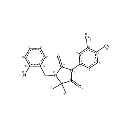 CC1(C)C(=O)N(c2ccc(C#N)c(C(F)(F)F)c2)C(=O)N1Cc1ccccc1N